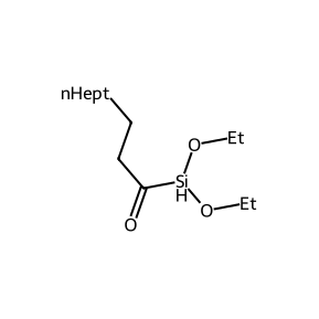 CCCCCCCCCC(=O)[SiH](OCC)OCC